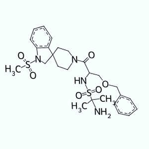 CC(C)(N)S(=O)(=O)NC(COCc1ccccc1)C(=O)N1CCC2(CC1)CN(S(C)(=O)=O)c1ccccc12